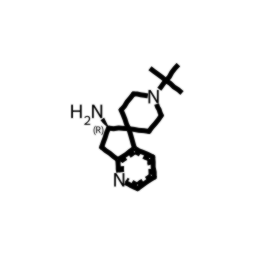 CC(C)(C)N1CCC2(CC1)c1cccnc1C[C@H]2N